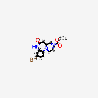 CC(C)(C)OC(=O)N1CCN2c3ccc(Br)cc3NC(=O)CC2C1